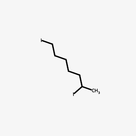 CC(I)CCCCCI